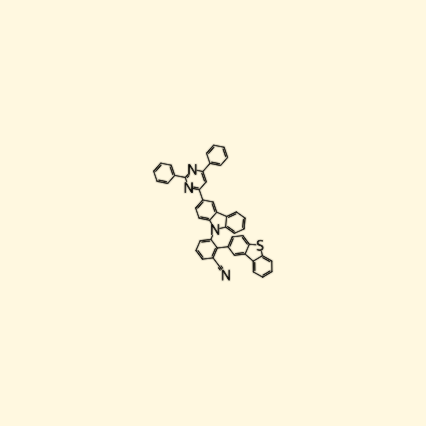 N#Cc1cccc(-n2c3ccccc3c3cc(-c4cc(-c5ccccc5)nc(-c5ccccc5)n4)ccc32)c1-c1ccc2sc3ccccc3c2c1